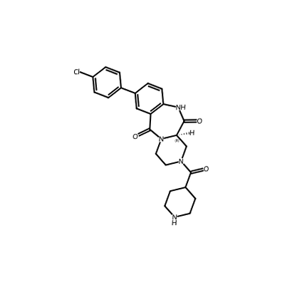 O=C1Nc2ccc(-c3ccc(Cl)cc3)cc2C(=O)N2CCN(C(=O)C3CCNCC3)C[C@H]12